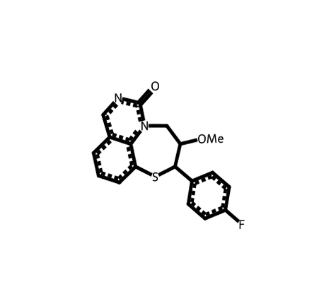 COC1Cn2c(=O)ncc3cccc(c32)SC1c1ccc(F)cc1